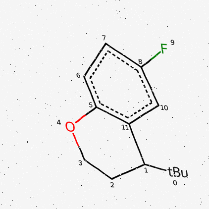 CC(C)(C)C1CCOc2ccc(F)cc21